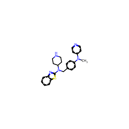 CN(c1ccncc1)c1ccc(CN(c2nc3ccccc3s2)C2CCNCC2)cc1